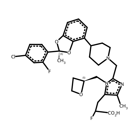 Cc1nc(CN2CCC(c3cccc4c3O[C@@](C)(c3ccc(Cl)cc3F)O4)CC2)n(C[C@@H]2CCO2)c1CC(F)C(=O)O